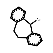 CC(=O)C1c2ccccc2CCc2ccccc21